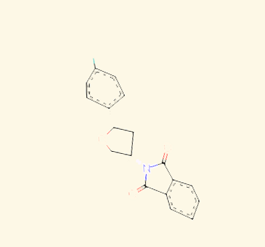 O=C1c2ccccc2C(=O)N1[C@@H]1CO[C@H](c2ccc(F)cc2)C1